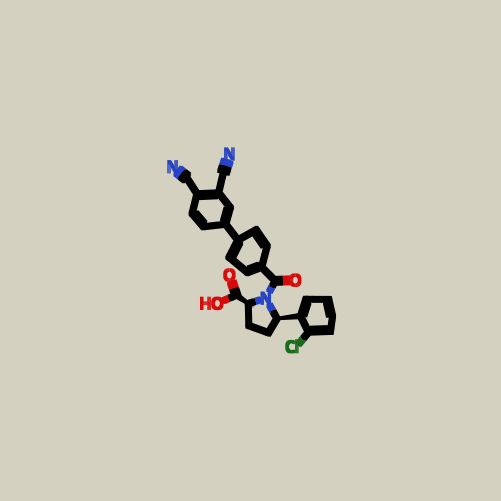 N#Cc1ccc(-c2ccc(C(=O)N3[C@@H](c4ccccc4Cl)CC[C@H]3C(=O)O)cc2)cc1C#N